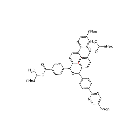 CCCCCCCCCc1cnc(-c2ccc(C(OC(c3ccc(C(=O)OC(C)CCCCCC)cc3)c3ccc(-c4ncc(CCCCCCCCC)cn4)cc3)c3ccc(C(=O)OC(C)CCCCCC)cc3)cc2)nc1